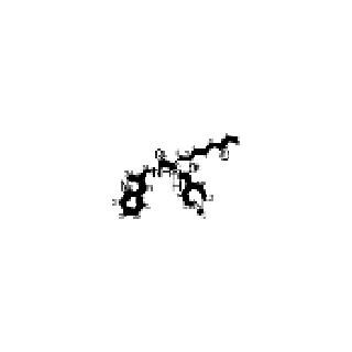 CCC(=O)CCCCC[C@H](NC(=O)C1CCN(C)CC1)C(=O)NCc1cnc2ccccc2c1